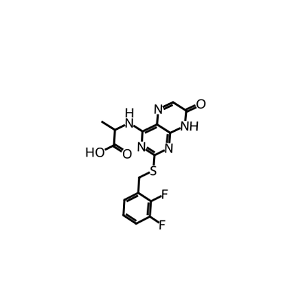 CC(Nc1nc(SCc2cccc(F)c2F)nc2[nH]c(=O)cnc12)C(=O)O